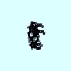 C=C1C(=C)[C@@]2(C)C(CC[C@@H]3[C@H]2CC[C@]2(C)C(O)CC[C@@H]32)CC1OC(C)=O